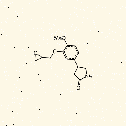 COc1ccc(C2CNC(=O)C2)cc1OCC1CO1